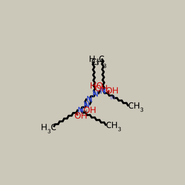 CCCCCCC/C=C/CC(O)CN(CCN(CCN1CCN(CCN(CC(O)CCCCCCCCCC)C[C@H](O)CCCCCCCCCC)CC1)CC(O)CCCCCCCCCC)CC(O)CCCCCCCCCC